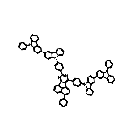 c1ccc(-c2ccc3c4c(cccc24)-c2nc(-c4ccc(-n5c6ccccc6c6cc(-c7ccc8c(c7)c7ccccc7n8-c7ccccc7)ccc65)cc4)nc(-c4ccc(-n5c6ccccc6c6cc(-c7ccc8c(c7)c7ccccc7n8-c7ccccc7)ccc65)cc4)c2-3)cc1